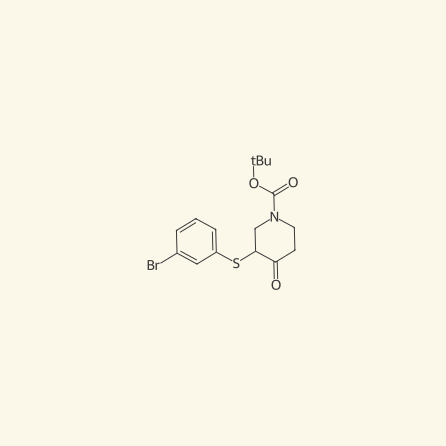 CC(C)(C)OC(=O)N1CCC(=O)C(Sc2cccc(Br)c2)C1